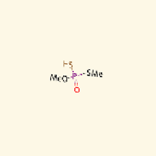 COP(=O)(S)SC